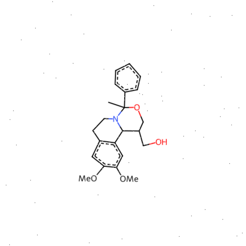 COc1cc2c(cc1OC)C1C(CO)COC(C)(c3ccccc3)N1CC2